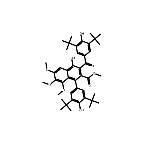 COC(=O)c1c(C(=O)c2cc(C(C)(C)C)c(O)c(C(C)(C)C)c2)c(O)c2cc(OC)c(OC)c(OC)c2c1-c1cc(C(C)(C)C)c(O)c(C(C)(C)C)c1